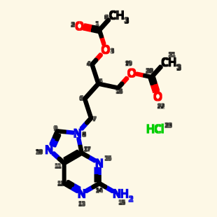 CC(=O)OCC(CCn1cnc2cnc(N)nc21)COC(C)=O.Cl